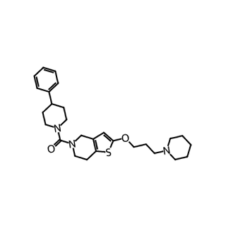 O=C(N1CCC(c2ccccc2)CC1)N1CCc2sc(OCCCN3CCCCC3)cc2C1